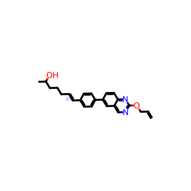 C=CCOc1ncc2cc(-c3ccc(/C=C/CCCC(C)O)cc3)ccc2n1